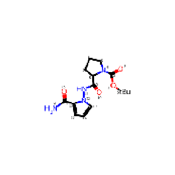 CC(C)(C)OC(=O)N1CCCC1C(=O)Nn1cccc1C(N)=O